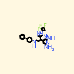 Nc1cc(C(CCN[C@H]2CC[C@H](c3ccccc3)CC2)c2cnn(C3CC(F)C3(F)F)c2)c2nn[nH]c2n1